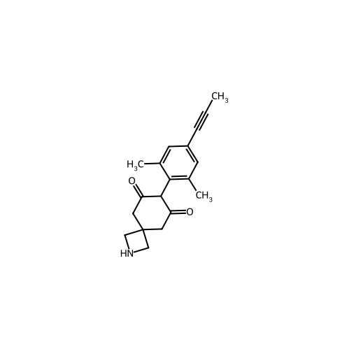 CC#Cc1cc(C)c(C2C(=O)CC3(CNC3)CC2=O)c(C)c1